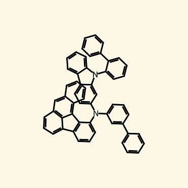 c1ccc(-c2cccc(N(c3ccc4c5ccccc5n(-c5ccccc5-c5ccccc5)c4c3)c3cccc4c3-c3c5ccccc5cc5cccc-4c35)c2)cc1